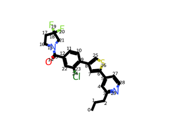 CCCc1cc(-c2cc(-c3ccc(C(=O)N4CCC(F)(F)C4)cc3Cl)cs2)ccn1